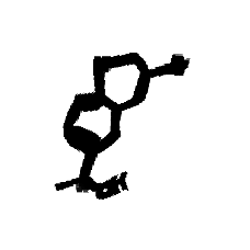 C[C@@H](O)c1ccc2ncc(Br)cc2c1